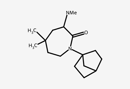 CNC1CC(C)(C)CCN(C23CCC(CC2)C3)C1=O